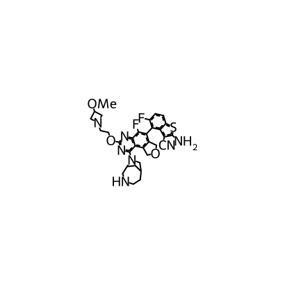 COC1CN(CCOc2nc(N3CC4CCNCC3C4)c3c4c(c(-c5c(F)ccc6sc(N)c(C#N)c56)c(F)c3n2)COC4)C1